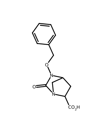 O=C(O)C1CC2CN1C(=O)N2OCc1ccccc1